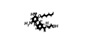 CCCCCCOC1=CC(=Nc2ccc(C(C)NCCO)cc2C)C(N)=CC1=N